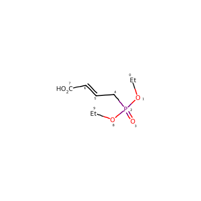 CCOP(=O)(CC=CC(=O)O)OCC